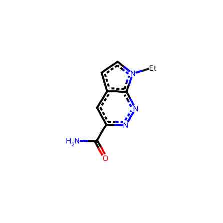 CCn1ccc2cc(C(N)=O)nnc21